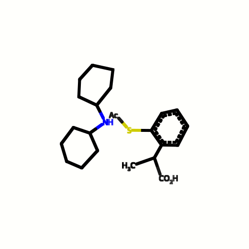 C1CCC(NC2CCCCC2)CC1.CC(=O)Sc1ccccc1C(C)C(=O)O